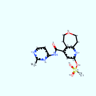 Cc1nccc(NC(=O)c2cc(OS(=O)(=O)C(F)(F)F)nc3c2CCOCC3)n1